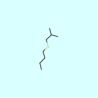 CCCCS[CH]C(C)C